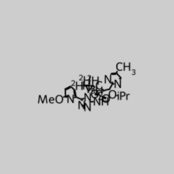 [2H]C1([2H])C(n2c(NS(=O)(=O)C(C)C(OC(C)C)c3ncc(C)cn3)nnc2-c2cccc(OC)n2)C1([2H])[2H]